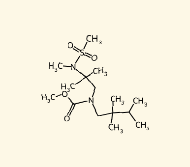 COC(=O)N(CC(C)(C)C(C)C)CC(C)(C)N(C)S(C)(=O)=O